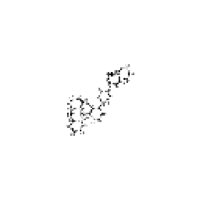 Cc1c(-c2ccc(-c3cnc4ccccc4c3)cc2)cccc1N1c2ccccc2Oc2ccccc21